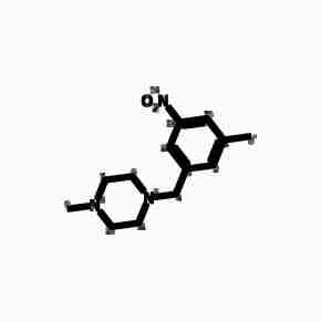 [CH2]c1cc(CN2CCN(C)CC2)cc([N+](=O)[O-])c1